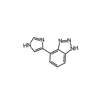 c1cc(-c2c[nH]cn2)c2nn[nH]c2c1